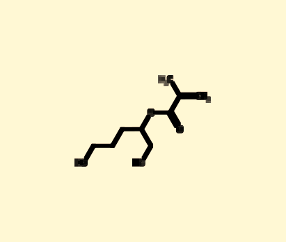 C=C(C)C(=O)OC(CO)CCCO